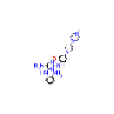 COc1cc(N2CCC(N3CCN(C)CC3)CC2)ccc1Nc1ncc(N)c(Nc2ccccc2N)n1